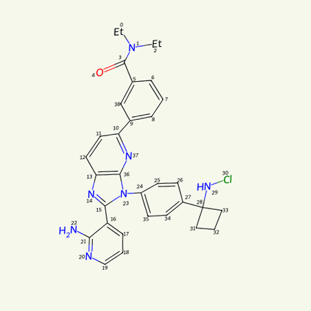 CCN(CC)C(=O)c1cccc(-c2ccc3nc(-c4cccnc4N)n(-c4ccc(C5(NCl)CCC5)cc4)c3n2)c1